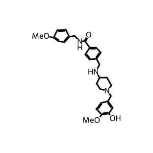 COc1ccc(CNC(=O)c2ccc(CNC3CCN(Cc4ccc(OC)c(O)c4)CC3)cc2)cc1